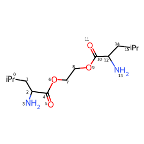 CC(C)CC(N)C(=O)OCCOC(=O)C(N)CC(C)C